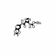 CC(C)(C)OC(=O)Nc1ncsc1C(=O)Nc1ccc2c(c1)OC(F)(F)O2